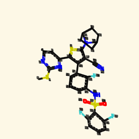 CSc1nccc(-c2sc(N3C4CCC3CC4)c(C#N)c2-c2cccc(NS(=O)(=O)c3c(F)cccc3F)c2F)n1